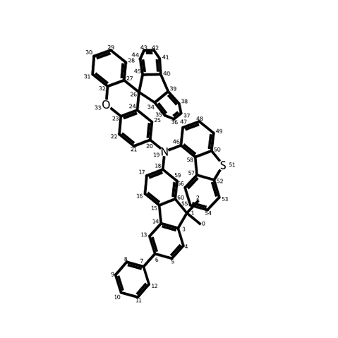 CC1(C)c2ccc(-c3ccccc3)cc2-c2ccc(N(c3ccc4c(c3)C3(c5ccccc5O4)c4ccccc4-c4ccccc43)c3cccc4sc5ccccc5c34)cc21